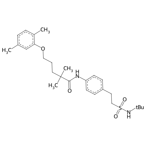 Cc1ccc(C)c(OCCCC(C)(C)C(=O)Nc2ccc(CCS(=O)(=O)NC(C)(C)C)cc2)c1